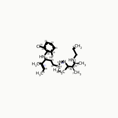 C=CCN[C@@H](C)[C@@H](C)C(C)/N=N\N(C)CCC(Nc1c(F)cccc1Cl)/C(C)=C/C